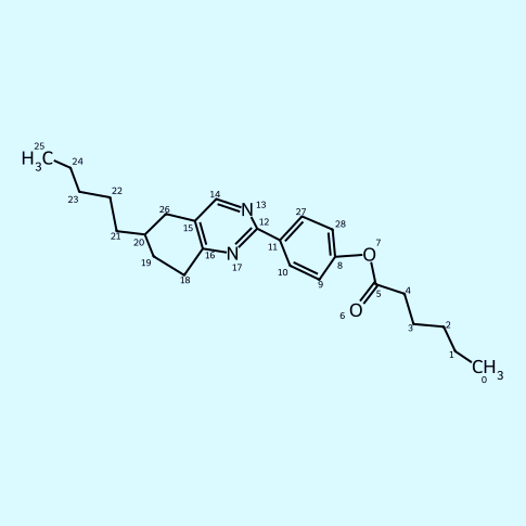 CCCCCC(=O)Oc1ccc(-c2ncc3c(n2)CCC(CCCCC)C3)cc1